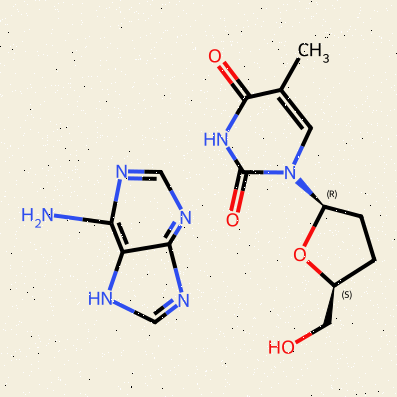 Cc1cn([C@H]2CC[C@@H](CO)O2)c(=O)[nH]c1=O.Nc1ncnc2nc[nH]c12